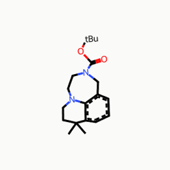 CC(C)(C)OC(=O)N1CCN2CCC(C)(C)c3cccc(c32)C1